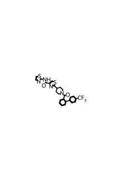 O=C(Nc1nccs1)c1csc(C2CCN(C(=O)c3ccccc3-c3ccc(C(F)(F)F)cc3)CC2)n1